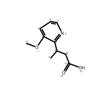 COc1cccnc1C(C)CC(=O)O